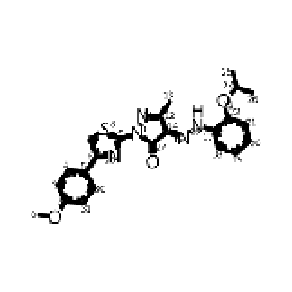 COc1ccc(-c2csc(N3N=C(C)/C(=N\Nc4ccccc4OC(C)C)C3=O)n2)cc1